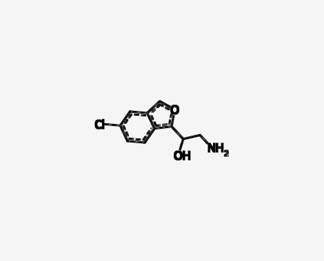 NCC(O)c1occ2cc(Cl)ccc12